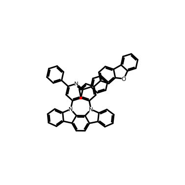 c1ccc(-c2cc(-n3c4ccccc4c4ccc5c6ccccc6n(-c6cccc(-c7ccc8c(c7)oc7ccccc78)c6)c5c43)cc(-c3ccccc3)n2)cc1